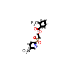 O=C(OCCS(=O)(=O)c1ccc([N+](=O)[O-])cn1)c1ccccc1C(F)(F)F